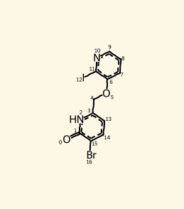 O=c1[nH]c(COc2cccnc2I)ccc1Br